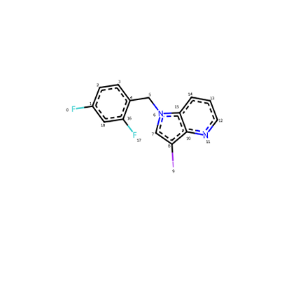 Fc1ccc(Cn2cc(I)c3ncccc32)c(F)c1